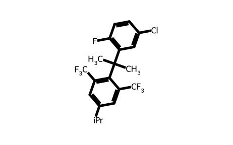 CC(C)c1cc(C(F)(F)F)c(C(C)(C)c2cc(Cl)ccc2F)c(C(F)(F)F)c1